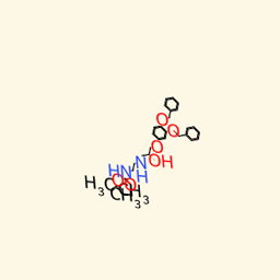 CC(C)(C)OC(=O)NCCNC[C@@H](O)COc1ccc(OCc2ccccc2)c(OCc2ccccc2)c1